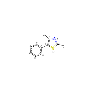 Cc1nc(C)c(-c2cc[c]cc2)s1